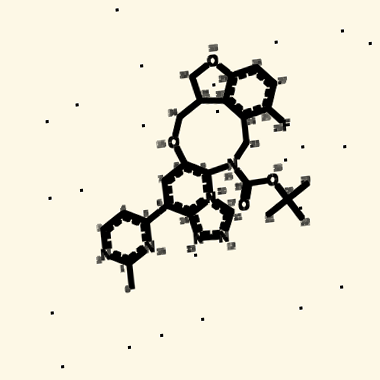 Cc1nccc(-c2cc3c(n4cnnc24)N(C(=O)OC(C)(C)C)Cc2c(F)ccc4c2C(CO4)CO3)n1